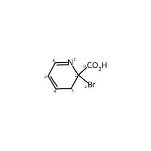 O=C(O)C1(Br)CC=CC=N1